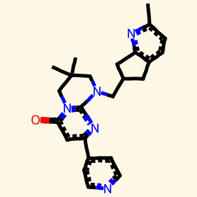 Cc1ccc2c(n1)CC(CN1CC(C)(C)Cn3c1nc(-c1ccncc1)cc3=O)C2